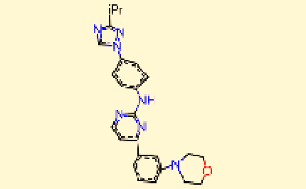 CC(C)c1ncn(-c2ccc(Nc3nccc(-c4cccc(N5CCOCC5)c4)n3)cc2)n1